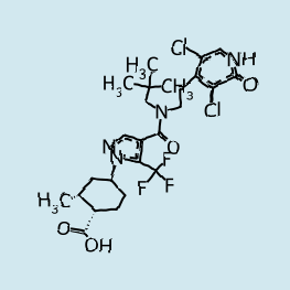 C[C@@H]1C[C@@H](n2ncc(C(=O)N(CCc3c(Cl)c[nH]c(=O)c3Cl)CC(C)(C)C)c2C(F)(F)F)CC[C@@H]1C(=O)O